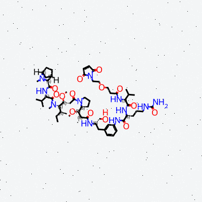 CC[C@H](C)[C@@H]([C@@H](CC(=O)N1CCC[C@H]1[C@H](OC)[C@@H](C)C(=O)N[C@H](CO)Cc1cccc(NC(=O)[C@H](CCCNC(N)=O)NC(=O)[C@@H](NC(=O)CCOCCN2C(=O)C=CC2=O)C(C)C)c1)OC)N(C)C(=O)[C@@H](NC(=O)[C@@H]1[C@H]2CC[C@H](C2)N1C)C(C)C